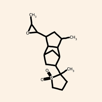 CC1CC(C2OC2C)C2C3CC(C12)C(C1(C)CCCS1(=O)=O)C3